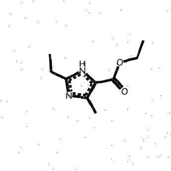 CCOC(=O)c1[nH]c(CC)nc1C